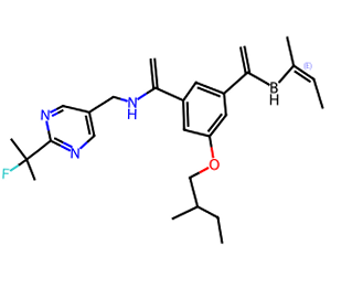 C=C(B/C(C)=C\C)c1cc(OCC(C)CC)cc(C(=C)NCc2cnc(C(C)(C)F)nc2)c1